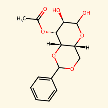 CC(=O)O[C@H]1[C@H]2OC(c3ccccc3)OC[C@H]2OC(O)[C@@H]1O